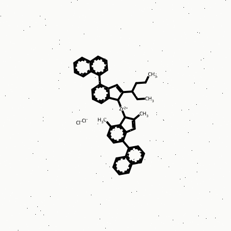 CCCC(CC)C1=Cc2c(-c3cccc4ccccc34)cccc2[CH]1[Zr+2][CH]1C(C)=Cc2c(-c3cccc4ccccc34)ccc(C)c21.[Cl-].[Cl-]